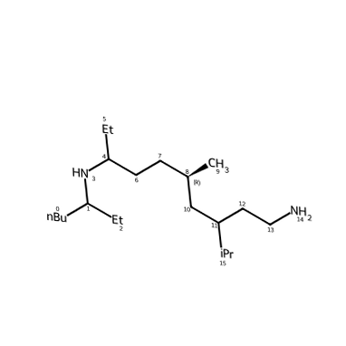 CCCCC(CC)NC(CC)CC[C@@H](C)CC(CCN)C(C)C